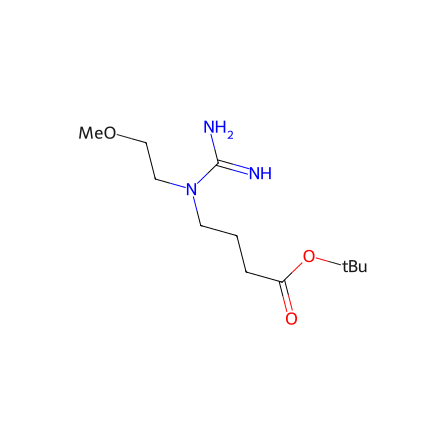 COCCN(CCCC(=O)OC(C)(C)C)C(=N)N